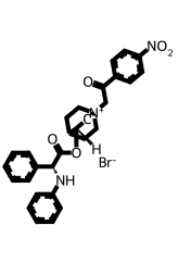 O=C(C[N+]12CCC(CC1)[C@@H](OC(=O)[C@H](Nc1ccccc1)c1ccccc1)C2)c1ccc([N+](=O)[O-])cc1.[Br-]